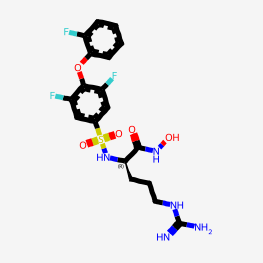 N=C(N)NCCC[C@@H](NS(=O)(=O)c1cc(F)c(Oc2ccccc2F)c(F)c1)C(=O)NO